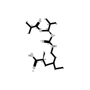 CCC(CCNC(=O)O[C@@H](OC(=O)C(C)C)C(C)C)C[C@H](C)C(=O)O